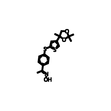 CC(=NO)c1ccc(Sc2cc(C3(C)COC(C)(C)O3)cs2)cc1